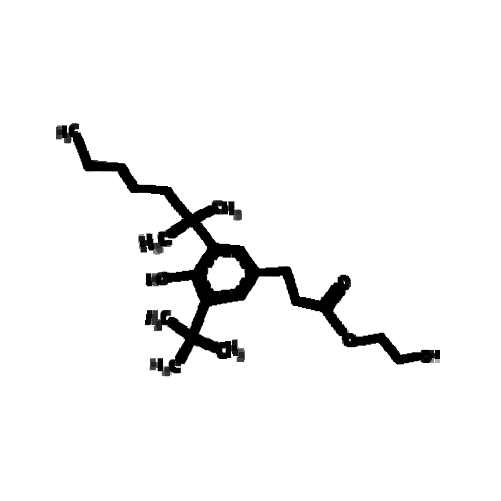 CCCCCC(C)(C)c1cc(CCC(=O)OCCO)cc(C(C)(C)C)c1O